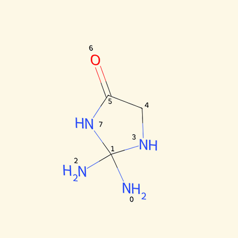 NC1(N)NCC(=O)N1